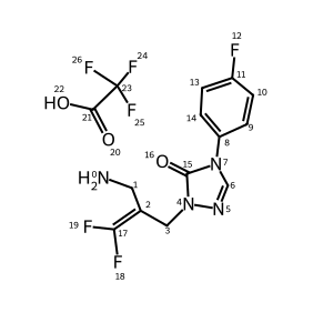 NCC(Cn1ncn(-c2ccc(F)cc2)c1=O)=C(F)F.O=C(O)C(F)(F)F